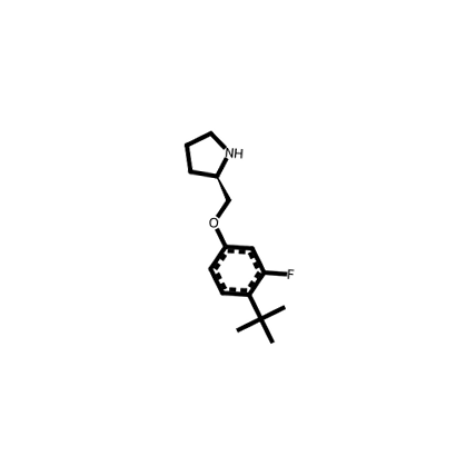 CC(C)(C)c1ccc(OC[C@H]2CCCN2)cc1F